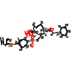 CSc1ccc(S(=O)(=O)C[C@@H]2C[C@@H](OCc3ccccc3)CC[C@H]2O)cc1